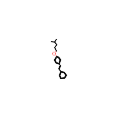 CC(C)CCCOc1ccc(/C=C/c2ccccc2)cc1